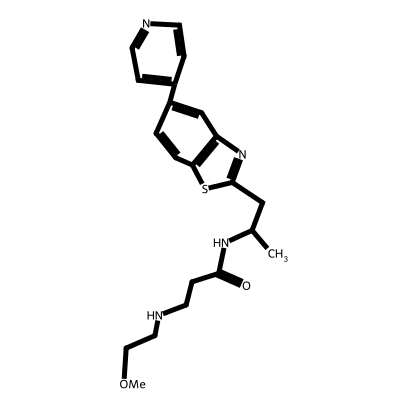 COCCNCCC(=O)NC(C)Cc1nc2cc(-c3ccncc3)ccc2s1